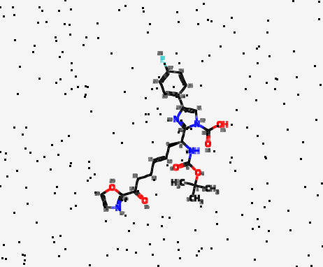 CC(C)(C)OC(=O)N[C@@H](C/C=C/CCC(=O)c1ncco1)c1nc(-c2ccc(F)cc2)cn1C(=O)O